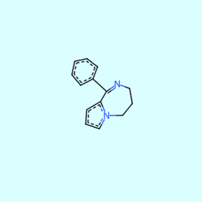 c1ccc(C2=NCCCn3cccc32)cc1